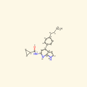 O=C(Nc1cc(-c2ccc(CCS(=O)(=O)O)cc2)c2cc[nH]c2n1)C1CC1